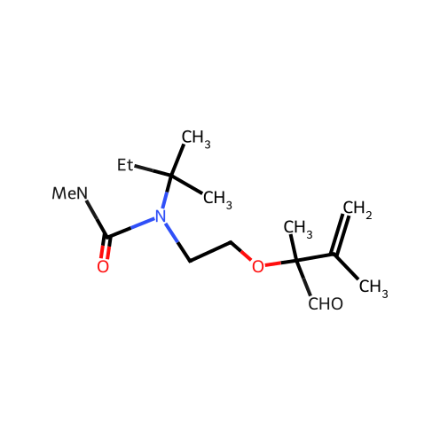 C=C(C)C(C)(C=O)OCCN(C(=O)NC)C(C)(C)CC